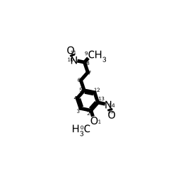 COc1ccc(CCC(C)N=O)cc1N=O